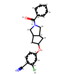 N#Cc1ccc(OC2CC3CN(C(=O)c4ccccc4)CC3C2)cc1Br